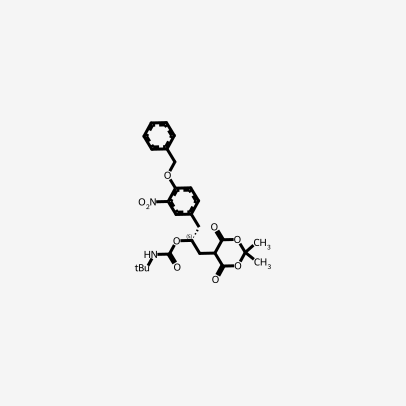 CC(C)(C)NC(=O)O[C@H](Cc1ccc(OCc2ccccc2)c([N+](=O)[O-])c1)CC1C(=O)OC(C)(C)OC1=O